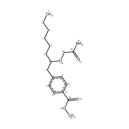 CCCCCCC(Cc1ccc(C(=O)OC)cc1)OCC(N)=O